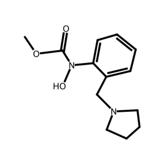 COC(=O)N(O)c1ccccc1CN1CCCC1